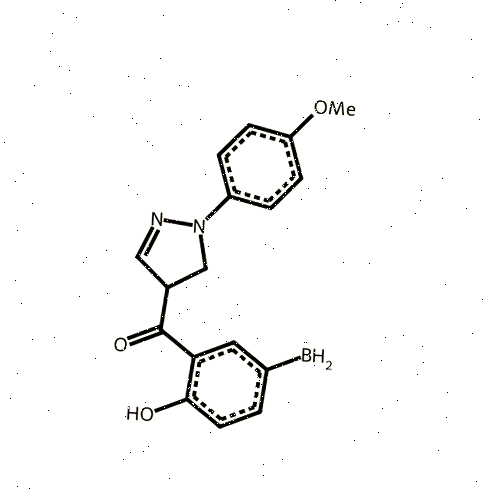 Bc1ccc(O)c(C(=O)C2C=NN(c3ccc(OC)cc3)C2)c1